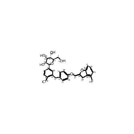 OC[C@H]1O[C@@H](c2ccc(Cl)c(Cc3ccc(OCC4Cc5c(F)cccc5O4)cc3)c2)[C@H](O)[C@@H](O)[C@@H]1O